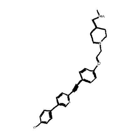 CNCC1CCN(CCOc2ccc(C#Cc3ccc(-c4ccc(Cl)cc4)cn3)cc2)CC1